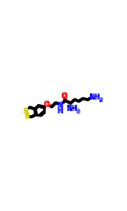 NCCCC[C@H](N)C(=O)NCCOc1ccc2c(c1)CSSC2